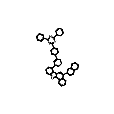 C1=CCC(c2nc(-c3ccccc3)nc(-c3ccc(C4=CC(c5cccc6oc7c8ccccc8c(-c8ccc9ccccc9c8)cc7c56)=CCC4)cc3)n2)C=C1